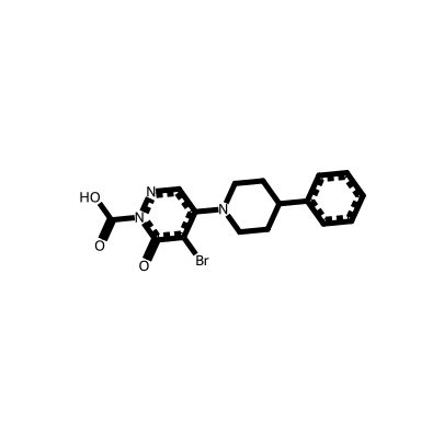 O=C(O)n1ncc(N2CCC(c3ccccc3)CC2)c(Br)c1=O